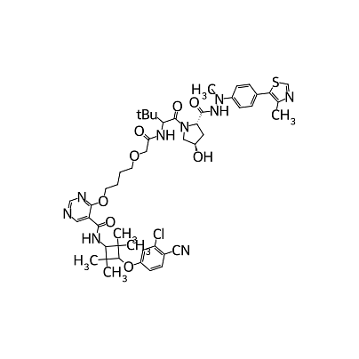 Cc1ncsc1-c1ccc(N(C)NC(=O)[C@@H]2C[C@@H](O)CN2C(=O)C(NC(=O)COCCCCOc2ncncc2C(=O)NC2C(C)(C)C(Oc3ccc(C#N)c(Cl)c3)C2(C)C)C(C)(C)C)cc1